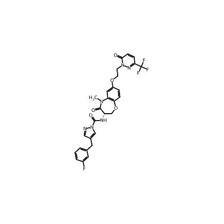 CN1C(=O)[C@@H](NC(=O)n2cc(Cc3cccc(F)c3)cn2)COc2ccc(OCCn3nc(C(F)(F)F)ccc3=O)cc21